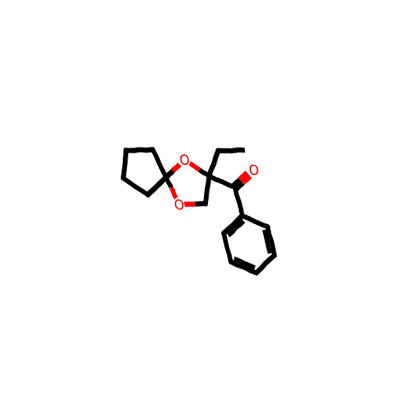 CCC1(C(=O)c2ccccc2)COC2(CCCC2)O1